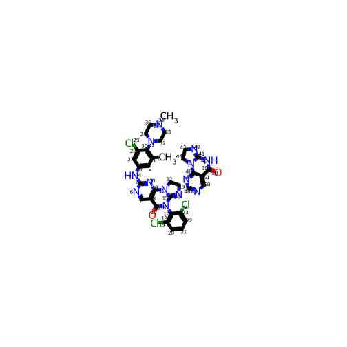 Cc1cc(Nc2ncc3c(n2)N2CCN=C2N(c2c(Cl)cccc2Cl)C3=O)cc(Cl)c1N1CCN(C)CC1.O=C1NC2=NCCN2c2ncncc21